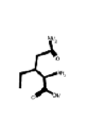 CCC(CC(N)=O)C(N)C(=O)O